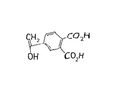 C=C(O)c1ccc(C(=O)O)c(C(=O)O)c1